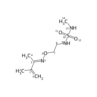 C=C(C)/C(C)=N/OCCNS(=O)(=O)NC